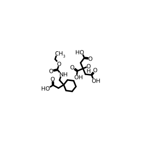 CCOC(=O)NCC1(CC(=O)O)CCCCC1.O=C(O)CC(O)(CC(=O)O)C(=O)O